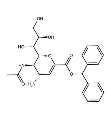 CC(=O)N[C@H]1[C@H]([C@H](O)[C@H](O)CO)OC(C(=O)OC(c2ccccc2)c2ccccc2)=C[C@@H]1N